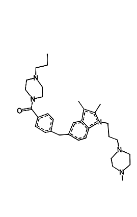 CCCN1CCN(C(=O)c2ccc(Cc3ccc4c(c3)c(C)c(C)n4CCCN3CCN(C)CC3)cc2)CC1